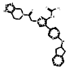 CC(=O)Nc1nn(CC(=O)N2CCc3[nH]nnc3C2)cc1-c1cnc(NC2Cc3ccccc3C2)nc1